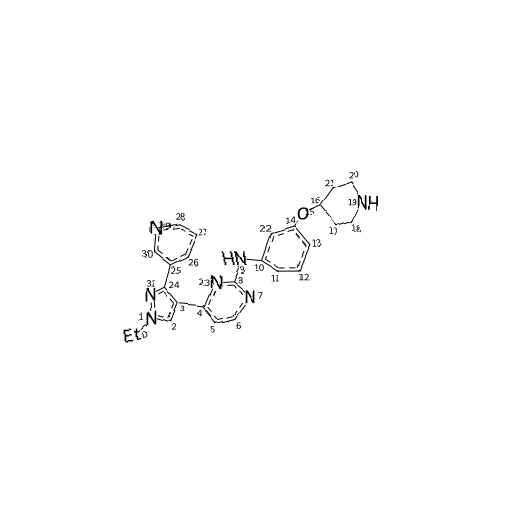 CCn1cc(-c2ccnc(Nc3cccc(OC4CCNCC4)c3)n2)c(-c2cccnc2)n1